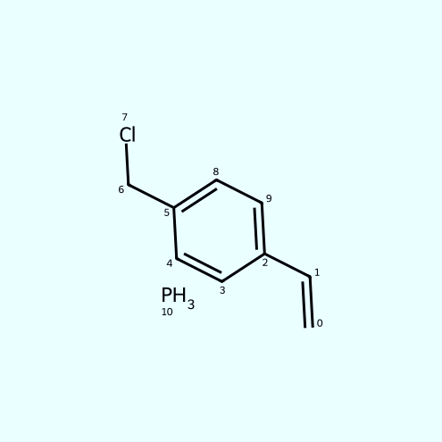 C=Cc1ccc(CCl)cc1.P